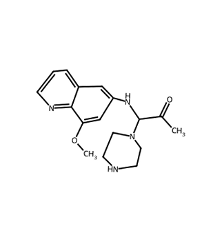 COc1cc(NC(C(C)=O)N2CCNCC2)cc2cccnc12